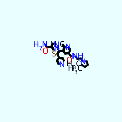 Cc1ncc(C(=O)NCCN2CCCC2(C)C)cc1-c1c(-c2ccncc2)sc2c(C(N)=O)cnn12